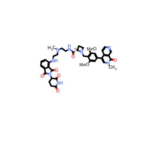 COc1cc(-c2cn(C)c(=O)c3cnccc23)cc(OC)c1CN1CC[C@H]1C(=O)NCCN(C)CCNc1cccc2c1C(=O)N(C1CCC(=O)NC1=O)C2=O